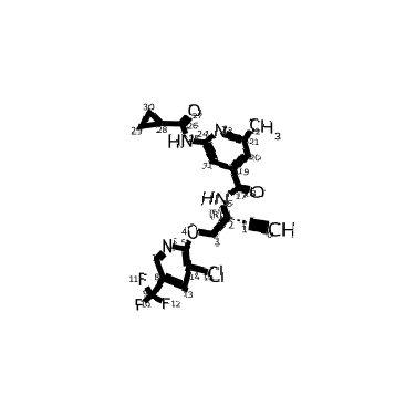 C#C[C@H](COc1ncc(C(F)(F)F)cc1Cl)NC(=O)c1cc(C)nc(NC(=O)C2CC2)c1